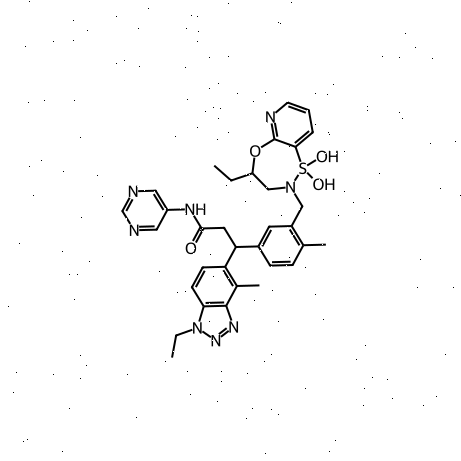 CCC1CN(Cc2cc(C(CC(=O)Nc3cncnc3)c3ccc4c(nnn4CC)c3C)ccc2C)S(O)(O)c2cccnc2O1